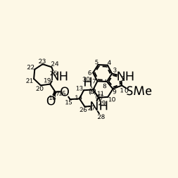 CSc1[nH]c2cccc3c2c1C[C@H]1[C@H]3CC(COC(=O)C2CCCCCN2)CN1C